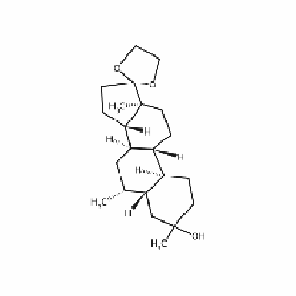 C[C@@H]1C[C@@H]2[C@H](CC[C@@]3(C)[C@H]2CCC32OCCO2)[C@H]2CCC(C)(O)C[C@@H]21